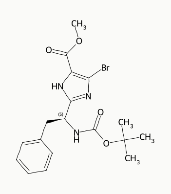 COC(=O)c1[nH]c([C@H](Cc2ccccc2)NC(=O)OC(C)(C)C)nc1Br